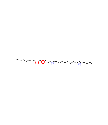 CCCC/C=C/CCCCCCCC/C=C/CCOCOCCCCCCCC